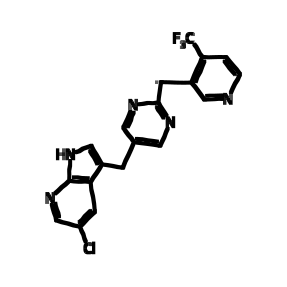 FC(F)(F)c1ccncc1[CH]c1ncc(Cc2c[nH]c3ncc(Cl)cc23)cn1